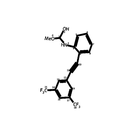 COC(O)Nc1ccccc1C#Cc1cc(C(F)(F)F)cc(C(F)(F)F)c1